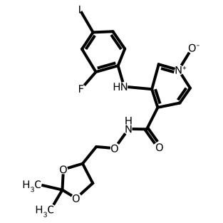 CC1(C)OCC(CONC(=O)c2cc[n+]([O-])cc2Nc2ccc(I)cc2F)O1